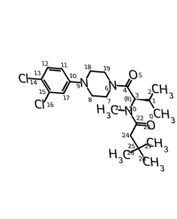 CC(C)[C@H](C(=O)N1CCN(c2ccc(Cl)c(Cl)c2)CC1)N(C)C(=O)CC(C)(C)C